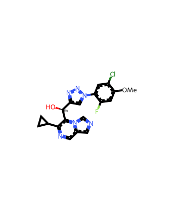 COc1cc(F)c(-n2cc([C@H](O)c3c(C4CC4)ncc4cncn34)nn2)cc1Cl